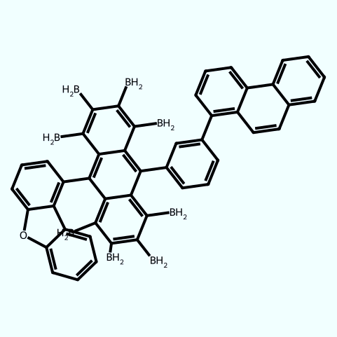 Bc1c(B)c(B)c2c(-c3cccc4oc5ccccc5c34)c3c(B)c(B)c(B)c(B)c3c(-c3cccc(-c4cccc5c4ccc4ccccc45)c3)c2c1B